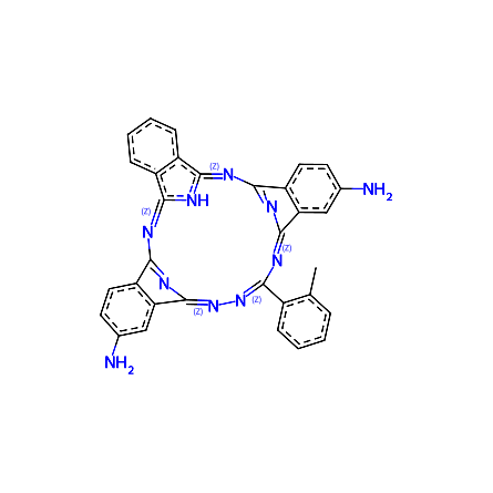 Cc1ccccc1C1=N/N=C2N=C(/N=c3\[nH]/c(c4ccccc34)=N\C3=NC(=N\1)/c1cc(N)ccc13)c1ccc(N)cc1\2